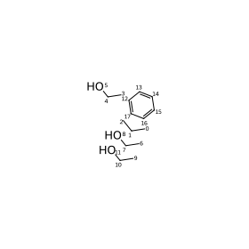 CCC.CCO.CCO.CCO.c1ccccc1